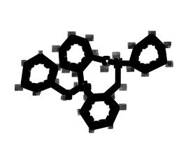 c1ccc([S][Sb]2[c]3ccccc3CN(c3ccccc3)Cc3cccc[c]32)cc1